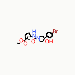 CCOC(=O)c1cccc(NC(=O)N2CCC(O)(c3ccc(Br)cc3)CC2)c1